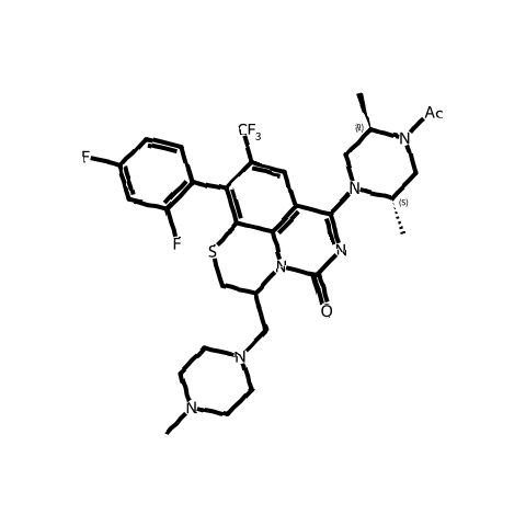 CC(=O)N1C[C@H](C)N(c2nc(=O)n3c4c(c(-c5ccc(F)cc5F)c(C(F)(F)F)cc24)SCC3CN2CCN(C)CC2)C[C@H]1C